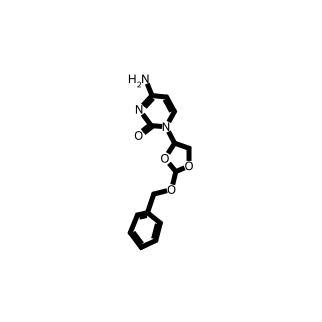 Nc1ccn(C2COC(OCc3ccccc3)O2)c(=O)n1